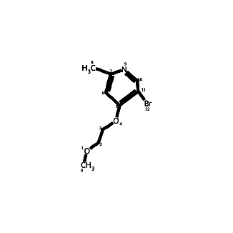 COCCOc1cc(C)ncc1Br